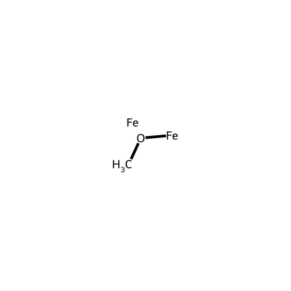 C[O][Fe].[Fe]